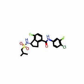 CC(C)CS(=O)(=O)N[C@H]1CCc2c(C(=O)Nc3ccc(Cl)c(F)c3)ccc(F)c21